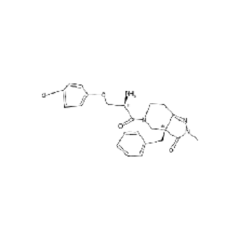 CN1N=C2CCN(C(=O)[C@H](N)COc3ccc(Cl)cc3)C[C@@]2(Cc2ccccc2)C1=O